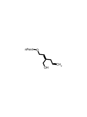 C=CCC(=CCOCCCCC)CO